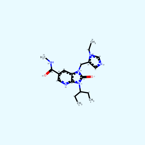 CCC(CC)n1c(=O)n(Cc2cncn2CC)c2cc(C(=O)NC)cnc21